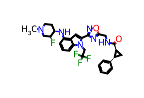 CN1CC[C@@H](Nc2cccc3c2cc(-c2noc(CNC(=O)[C@H]4C[C@@H]4c4ccccc4)n2)n3CC(F)(F)F)[C@@H](F)C1